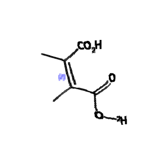 [2H]OC(=O)/C(C)=C(/C)C(=O)O